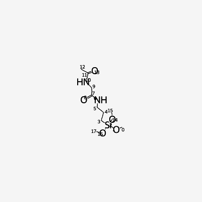 CO[Si](CCCNC(=O)CNC(C)=O)(OC)OC